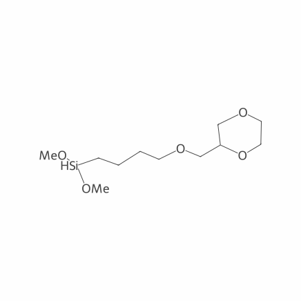 CO[SiH](CCCCOCC1COCCO1)OC